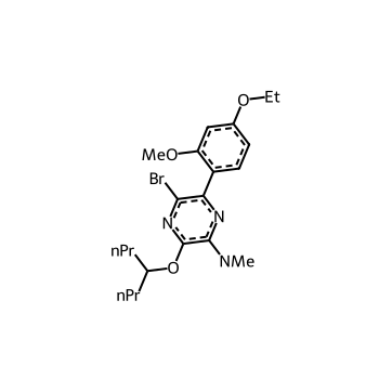 CCCC(CCC)Oc1nc(Br)c(-c2ccc(OCC)cc2OC)nc1NC